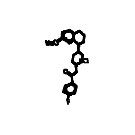 COc1ccc2c(c1)N(C1CCN(CC(=O)c3ccc(F)cc3)CC1)CCC2.Cl